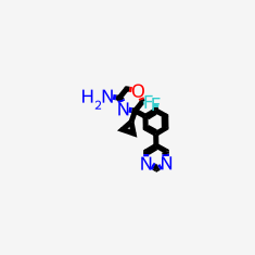 NC1=NC(c2cc(-c3cncnc3)ccc2F)(C2CC2)C(F)OC1